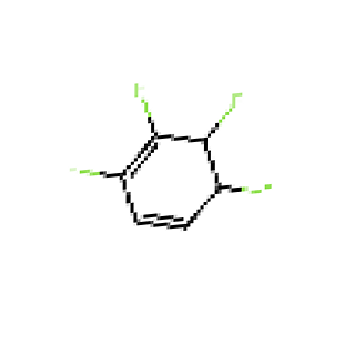 F[C]1C=CC(F)=C(F)C1F